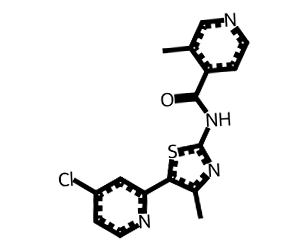 Cc1cnccc1C(=O)Nc1nc(C)c(-c2cc(Cl)ccn2)s1